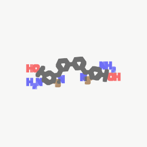 CC(C)(O)c1cc2snc(-c3cccc(-c4cccc(-c5nsc6cc(N)c(C(C)(C)O)cc56)c4)c3)c2cc1N